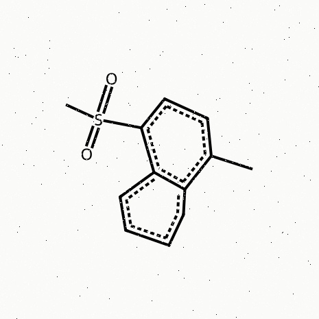 Cc1ccc(S(C)(=O)=O)c2ccccc12